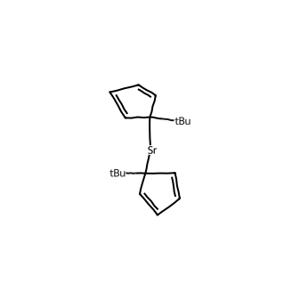 CC(C)(C)[C]1([Sr][C]2(C(C)(C)C)C=CC=C2)C=CC=C1